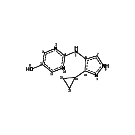 Oc1cnc(Nc2c[nH]nc2C2CC2)nc1